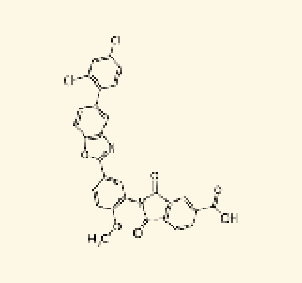 COc1ccc(-c2nc3cc(-c4ccc(Cl)cc4Cl)ccc3o2)cc1N1C(=O)c2ccc(C(=O)O)cc2C1=O